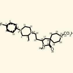 CC1CN(c2ccc(F)cc2)CCN1CCC1CC2(CCN(C(=O)O)CC2)C(=O)N1C